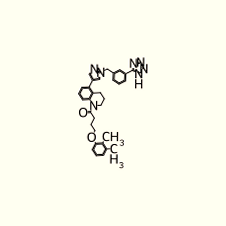 Cc1cccc(OCCCC(=O)N2CCCc3c(-c4cnn(Cc5cccc(-c6nnn[nH]6)c5)c4)cccc32)c1C